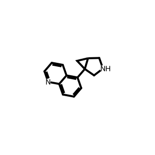 c1cc(C23CNCC2C3)c2cccnc2c1